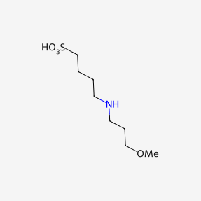 COCCCNCCCCS(=O)(=O)O